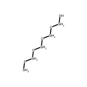 O[SiH2]O[SiH2]O[SiH2]O[SiH2]S[SiH3]